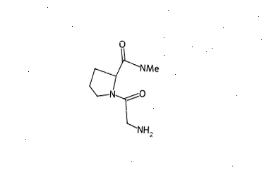 CNC(=O)C1CCCN1C(=O)CN